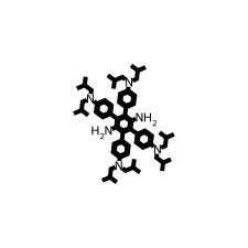 CC(C)CN(CC(C)C)c1ccc(-c2c(N)c(-c3ccc(N(CC(C)C)CC(C)C)cc3)c(-c3ccc(N(CC(C)C)CC(C)C)cc3)c(N)c2-c2ccc(N(CC(C)C)CC(C)C)cc2)cc1